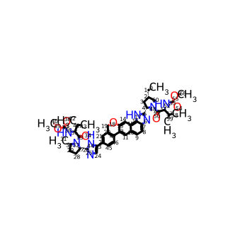 CC[C@H]1C[C@@H](c2nc3ccc4cc5c(cc4c3[nH]2)OCc2cc(-c3cnc([C@@H]4CC[C@H](C)N4C(=O)[C@@H](NC(=O)OC)C(C)C)[nH]3)ccc2-5)N(C(=O)[C@@H](NC(=O)OC)C(C)C)C1